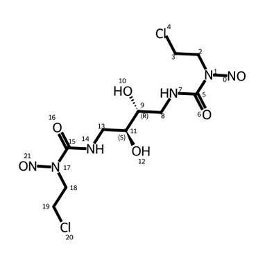 O=NN(CCCl)C(=O)NC[C@@H](O)[C@@H](O)CNC(=O)N(CCCl)N=O